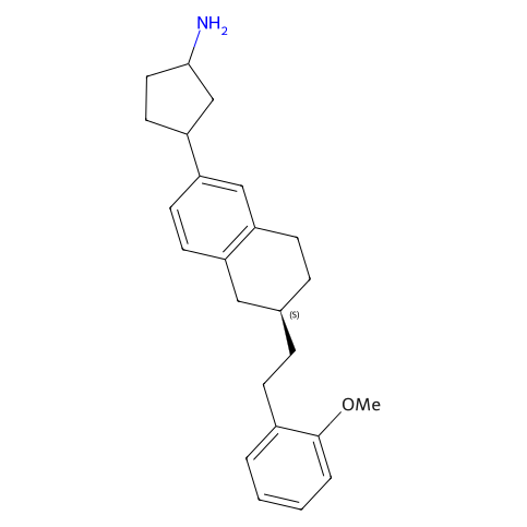 COc1ccccc1CC[C@@H]1CCc2cc(C3CCC(N)C3)ccc2C1